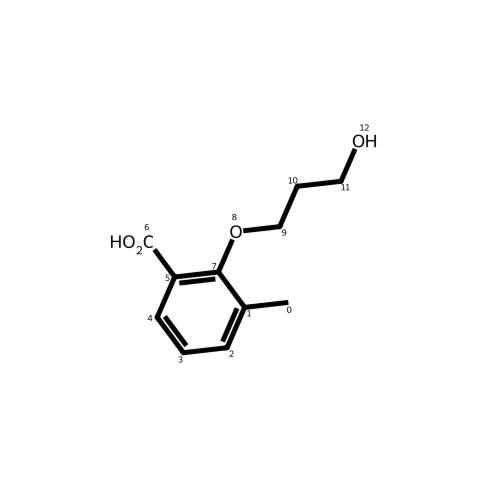 Cc1cccc(C(=O)O)c1OCCCO